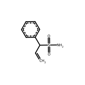 C=CC(c1ccccc1)S(N)(=O)=O